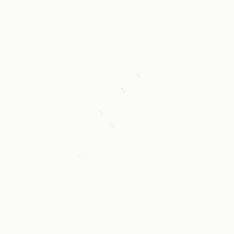 CN1CCN(c2cc(Cl)nc(Nc3ccc(OC(F)(F)F)cc3)c2)CC1